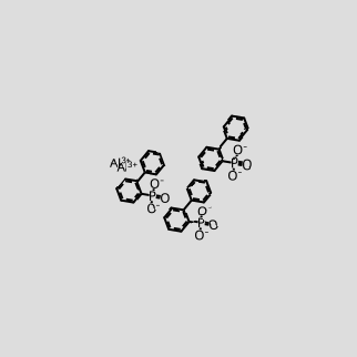 O=P([O-])([O-])c1ccccc1-c1ccccc1.O=P([O-])([O-])c1ccccc1-c1ccccc1.O=P([O-])([O-])c1ccccc1-c1ccccc1.[Al+3].[Al+3]